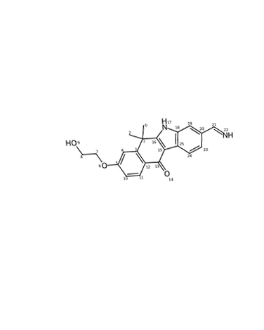 CC1(C)c2cc(OCCO)ccc2C(=O)c2c1[nH]c1cc(C=N)ccc21